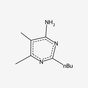 CCCCc1nc(C)c(C)c(N)n1